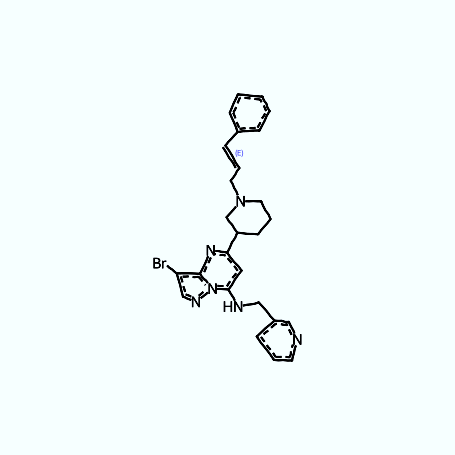 Brc1cnn2c(NCc3cccnc3)cc(C3CCCN(C/C=C/c4ccccc4)C3)nc12